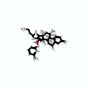 CCCC1O[C@@H]2C[C@H]3[C@@H]4C[C@H](F)C5=CC(=O)C=C[C@]5(C)[C@@]4(F)[C@@H](O)C[C@]3(C)[C@]2(C(=O)COc2cccc(N)n2)O1